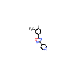 Cc1ccc(-c2nc(-c3ccncc3)no2)cc1C(F)(F)F